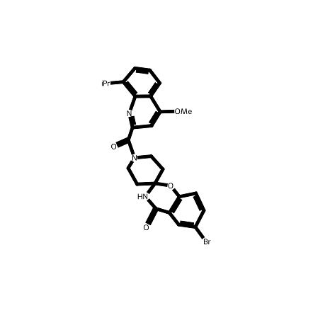 COc1cc(C(=O)N2CCC3(CC2)NC(=O)c2cc(Br)ccc2O3)nc2c(C(C)C)cccc12